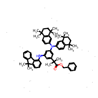 CC1(C)CCC(C)(C)c2cc(N(c3cc(Nc4cccc5c4-c4ccccc4C5(C)C)cc(C(C)(C)C(=O)OCc4ccccc4)c3)c3ccc4c(c3)C(C)(C)CCC4(C)C)ccc21